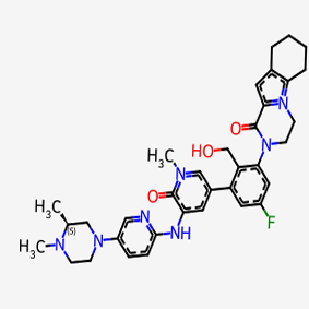 C[C@H]1CN(c2ccc(Nc3cc(-c4cc(F)cc(N5CCn6c(cc7c6CCCC7)C5=O)c4CO)cn(C)c3=O)nc2)CCN1C